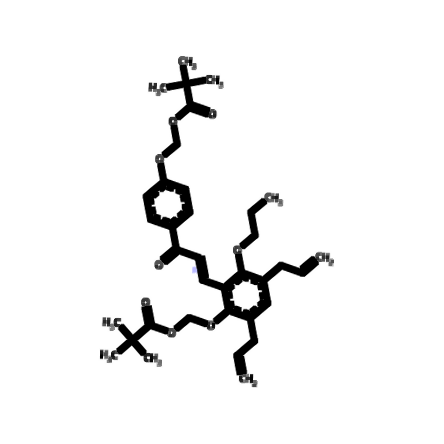 C=CCc1cc(CC=C)c(OCOC(=O)C(C)(C)C)c(/C=C/C(=O)c2ccc(OCOC(=O)C(C)(C)C)cc2)c1OCCC